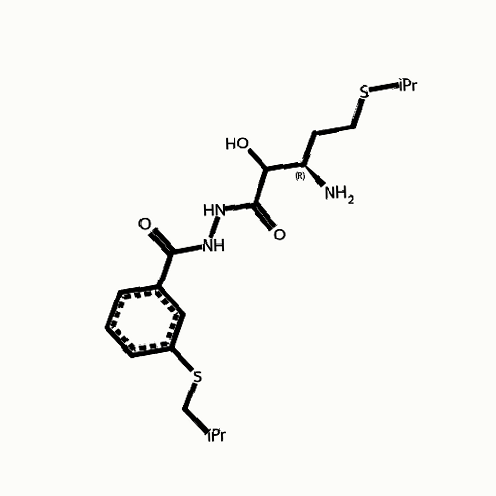 CC(C)CSc1cccc(C(=O)NNC(=O)C(O)[C@H](N)CCSC(C)C)c1